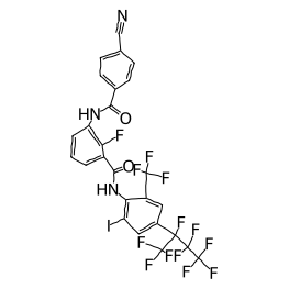 N#Cc1ccc(C(=O)Nc2cccc(C(=O)Nc3c(I)cc(C(F)(C(F)(F)F)C(F)(F)C(F)(F)F)cc3C(F)(F)F)c2F)cc1